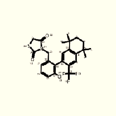 CC1(C)CCC(C)(C)c2cc(C(F)(F)F)c(-c3c(Cl)cccc3CN3C(=O)CSC3=O)cc21